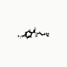 CNCCNC(=O)c1ccc(N)cc1